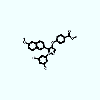 COC(=O)c1ccc(Oc2cnn(-c3cc(Cl)cc(Cl)c3)c2-c2ccc3cc(OC)ccc3c2)cc1